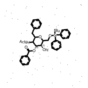 CC(=O)NC1C(Cc2ccccc2)OC(CO[Si](c2ccccc2)(c2ccccc2)C(C)(C)C)[C@@H](O)[C@@H]1OC(=O)c1ccccc1